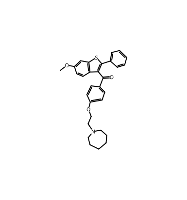 COc1ccc2c(C(=O)c3ccc(OCCN4CCCCCC4)cc3)c(-c3ccccc3)sc2c1